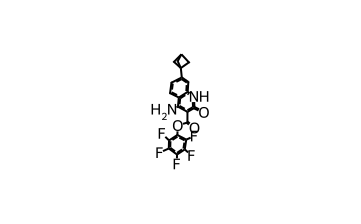 Nc1c(C(=O)Oc2c(F)c(F)c(F)c(F)c2F)c(=O)[nH]c2cc(C34CC(C3)C4)ccc12